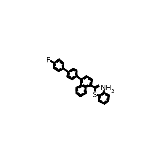 C=C(Sc1ccccc1N)c1ccc(-c2ccc(-c3ccc(F)cc3)cc2)c2ccccc12